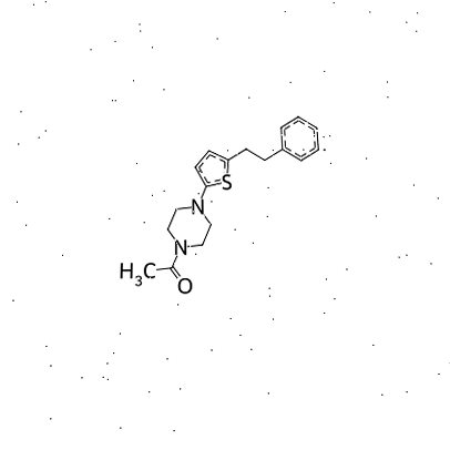 CC(=O)N1CCN(c2ccc(CCc3c[c]ccc3)s2)CC1